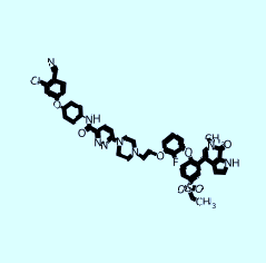 CCS(=O)(=O)c1ccc(Oc2cccc(OCCN3CCN(c4ccc(C(=O)N[C@H]5CC[C@H](Oc6ccc(C#N)c(Cl)c6)CC5)nn4)CC3)c2F)c(-c2cn(C)c(=O)c3[nH]ccc23)c1